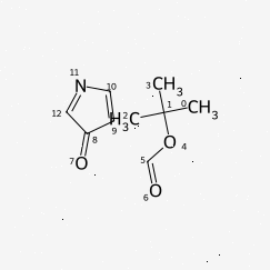 CC(C)(C)OC=O.O=C1C=CN=C1